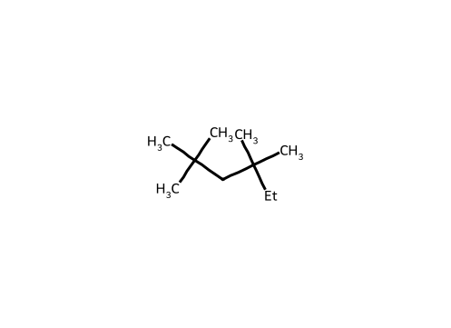 CCC(C)(C)CC(C)(C)C